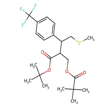 CSCC(c1ccc(C(F)(F)F)cc1)C(COC(=O)C(C)(C)C)C(=O)OC(C)(C)C